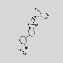 CC(=O)Nc1cccc(-c2ccc3nc(Nc4ccccc4C#N)nn3c2)c1